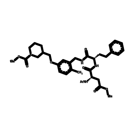 CC(=O)N[C@@H](CC(=O)OC(C)(C)C)C(=O)N[C@@H](CCc1ccccc1)C(=O)NCc1cc(OCC2CCCN(C(=O)OC(C)(C)C)C2)ccc1C